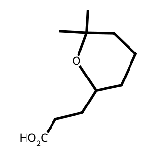 CC1(C)CCCC(CCC(=O)O)O1